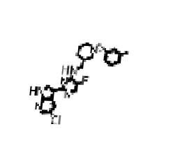 Cc1cccc(SN2CCCC(CNc3nc(-c4c[nH]c5ncc(Cl)cc45)ncc3F)C2)c1